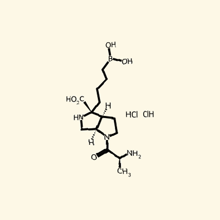 C[C@H](N)C(=O)N1CC[C@H]2[C@@H]1CN[C@@]2(CCCCB(O)O)C(=O)O.Cl.Cl